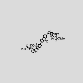 CCCN(Cc1ncc(-c2ccc3c(c2)C(=O)c2cc(-c4ccc5nc([C@@H]6[C@H]7CC[C@H](C7)N6C(=O)[C@@H](NC(=O)OC)C(C)C)[nH]c5c4)ccc2-3)[nH]1)C(=O)[C@@H](NC(=O)OC)C(C)C